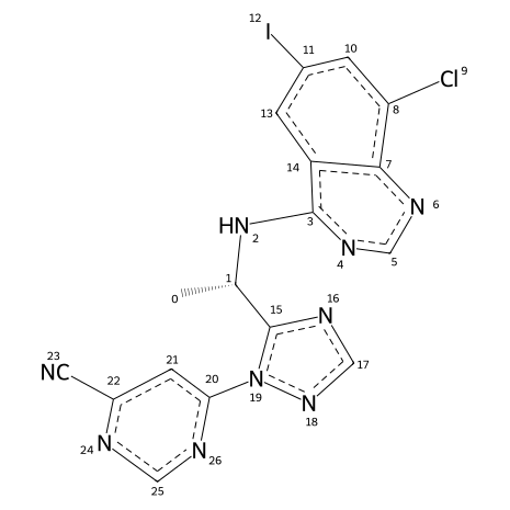 C[C@H](Nc1ncnc2c(Cl)cc(I)cc12)c1ncnn1-c1cc(C#N)ncn1